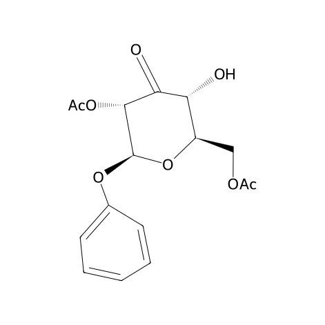 CC(=O)OC[C@H]1O[C@@H](Oc2ccccc2)[C@H](OC(C)=O)C(=O)[C@@H]1O